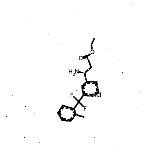 CCOC(=O)C[C@H](N)c1cccc(C(F)(F)c2ccccc2C)c1.Cl